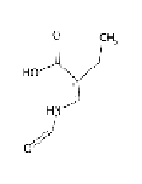 CCC(=CNC=O)C(=O)O